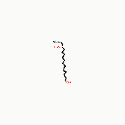 CCCCCCCCCCC(O)CCCCCCCCCCCCO